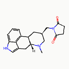 CN1C[C@H](CN2C(=O)CCC2=O)CC2c3cccc4[nH]cc(c34)C[C@H]21